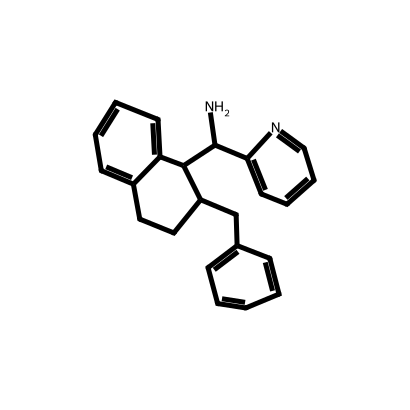 NC(c1ccccn1)C1c2ccccc2CCC1Cc1ccccc1